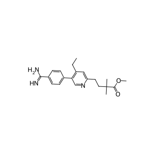 CCc1cc(CCC(C)(C)C(=O)OC)ncc1-c1ccc(C(=N)N)cc1